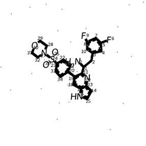 NC(Cc1cc(F)cc(F)c1)c1nc2cc[nH]c2cc1-c1ccc(S(=O)(=O)N2CCOCC2)cc1